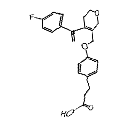 C=C(C1=C(COc2ccc(CCC(=O)O)cc2)COCC1)c1ccc(F)cc1